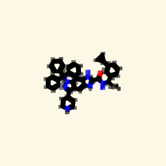 C[C@@H](NC(=O)c1nc2cc3c(-c4ccncc4)nn(C(c4ccccc4)(c4ccccc4)c4ccccc4)c3cc2[nH]1)c1cccc(C2CC2)c1